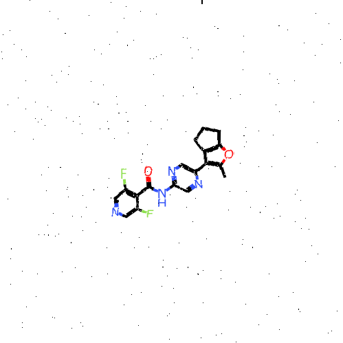 Cc1oc2c(c1-c1cnc(NC(=O)c3c(F)cncc3F)cn1)CCC2